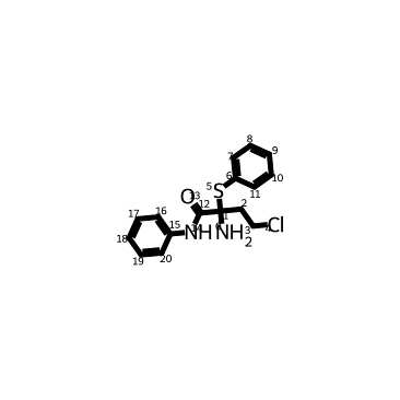 NC(CCCl)(Sc1ccccc1)C(=O)Nc1ccccc1